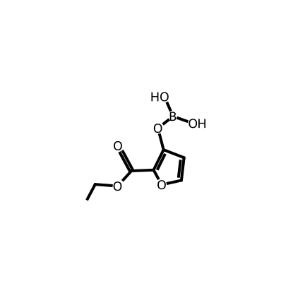 CCOC(=O)c1occc1OB(O)O